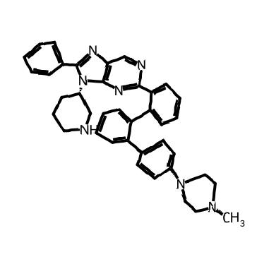 CN1CCN(c2ccc(-c3ccccc3-c3ccccc3-c3ncc4nc(-c5ccccc5)n([C@H]5CCCNC5)c4n3)cc2)CC1